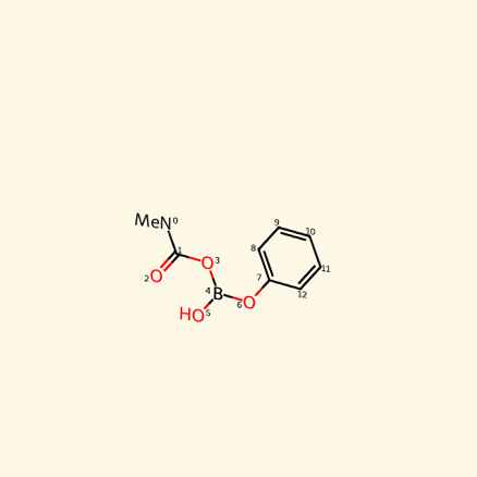 CNC(=O)OB(O)Oc1ccccc1